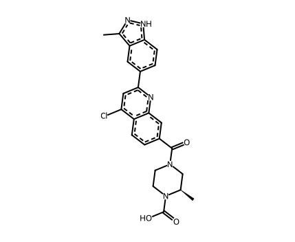 Cc1n[nH]c2ccc(-c3cc(Cl)c4ccc(C(=O)N5CCN(C(=O)O)[C@H](C)C5)cc4n3)cc12